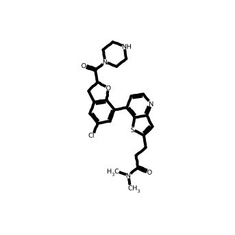 CN(C)C(=O)CCc1cc2nccc(-c3cc(Cl)cc4c3OC(C(=O)N3CCNCC3)C4)c2s1